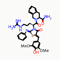 COc1cc(/C=C2\S/C(=N\c3ccccc3)N([C@@H](CCCNC(=N)N)C(=O)N3Cc4ccccc4CC3C(N)=O)C2=O)cc(OC)c1O